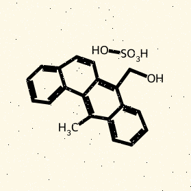 Cc1c2ccccc2c(CO)c2ccc3ccccc3c12.O=S(=O)(O)O